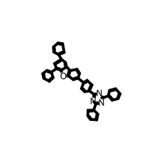 c1ccc(-c2cc(-c3ccccc3)c3oc4cc(-c5ccc(-c6nc(-c7ccccc7)nc(-c7ccccc7)n6)cc5)ccc4c3c2)cc1